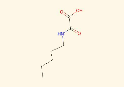 CCCCCNC(=O)C(=O)O